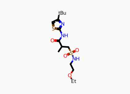 CCOCCNS(=O)(=O)CC(C)C(=O)Nc1nc(C(C)(C)C)cs1